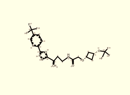 C=C(CCNC(=O)CO[C@H]1C[C@@H](OC(F)(F)F)C1)c1nnc(-c2ccc(C(F)(F)F)cn2)o1